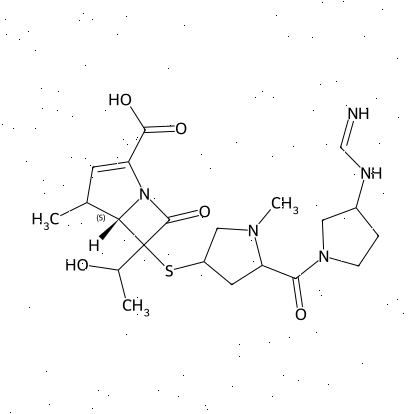 CC1C=C(C(=O)O)N2C(=O)C(SC3CC(C(=O)N4CCC(NC=N)C4)N(C)C3)(C(C)O)[C@H]12